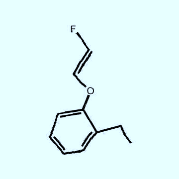 CCc1ccccc1OC=CF